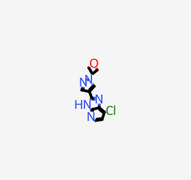 Clc1ccnc2[nH]c(-c3cnn(C4COC4)c3)nc12